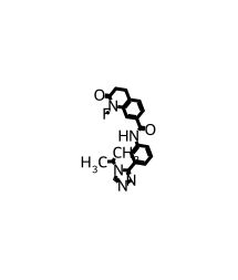 CC(C)n1cnnc1-c1cccc(NC(=O)c2ccc3c(c2)N(F)C(=O)CC3)c1